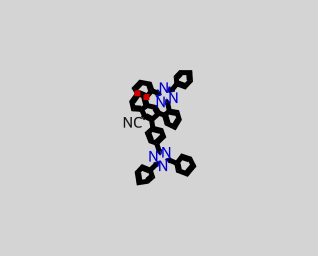 N#Cc1c(-c2ccc(-c3nc(-c4ccccc4)nc(-c4ccccc4)n3)cc2)c(-c2ccccc2-c2nc(-c3ccccc3)nc(-c3ccccc3)n2)cc2ccccc12